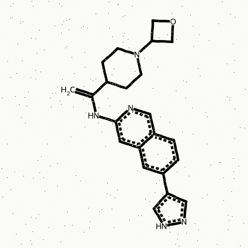 C=C(Nc1cc2cc(-c3cn[nH]c3)ccc2cn1)C1CCN(C2COC2)CC1